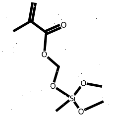 C=C(C)C(=O)OCO[Si](C)(OC)OC